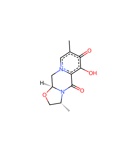 Cc1cn2c(c(O)c1=O)C(=O)N1[C@H](C)CO[C@H]1C2